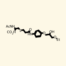 CCOCC(O)COc1ccc(NC(=O)CCSCC(NC(C)=O)C(=O)O)cc1